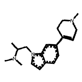 CC(Cn1ccc2ccc(C3=CCN(C)CC3)cc21)N(C)C